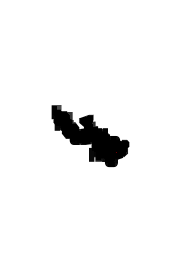 CC1CC2CC(C1)C(NC(=O)c1cnc(-c3cn(C4CC4)c4cc(OC5CCN(c6ncc(F)cn6)CC5)ccc34)nc1C(F)(F)F)(C(=O)O)C2